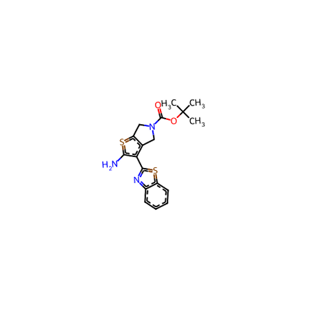 CC(C)(C)OC(=O)N1Cc2sc(N)c(-c3nc4ccccc4s3)c2C1